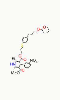 CCC1=C(C(=O)OCCCSc2ccc(CCCCOC3CCCCO3)cc2)C(c2cccc([N+](=O)[O-])c2)C(C(=O)OC)=C(C)N1